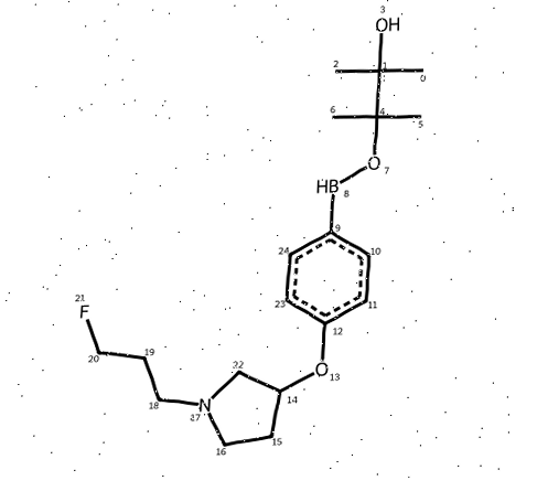 CC(C)(O)C(C)(C)OBc1ccc(OC2CCN(CCCF)C2)cc1